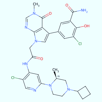 C[C@H]1CN(C2CCC2)CCN1c1cc(NC(=O)Cn2cc(-c3cc(Cl)c(O)c(C(N)=O)c3)c3c(=O)n(C)cnc32)c(Cl)cn1